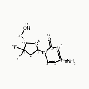 Nc1ccn(C2CC(F)(F)[C@H](CO)O2)c(=O)n1